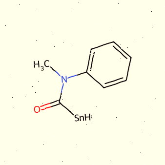 CN([C](=O)[SnH])c1ccccc1